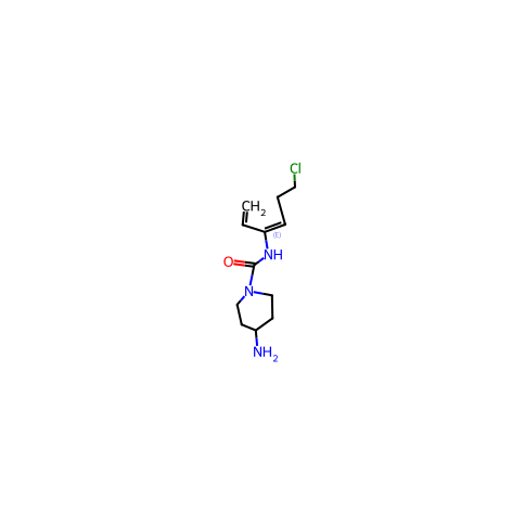 C=C/C(=C\CCCl)NC(=O)N1CCC(N)CC1